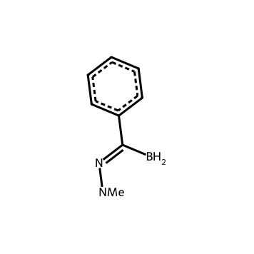 B/C(=N\NC)c1ccccc1